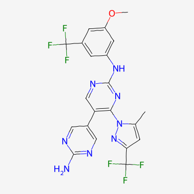 COc1cc(Nc2ncc(-c3cnc(N)nc3)c(-n3nc(C(F)(F)F)cc3C)n2)cc(C(F)(F)F)c1